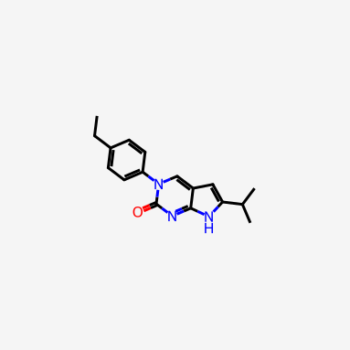 CCc1ccc(-n2cc3cc(C(C)C)[nH]c3nc2=O)cc1